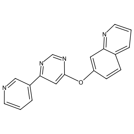 c1cncc(-c2cc(Oc3ccc4cccnc4c3)ncn2)c1